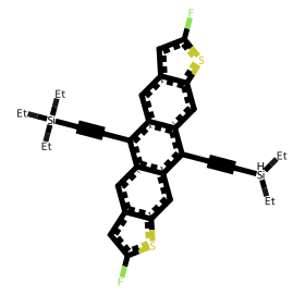 CC[SiH](C#Cc1c2cc3sc(F)cc3cc2c(C#C[Si](CC)(CC)CC)c2cc3cc(F)sc3cc12)CC